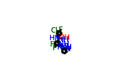 CN(C)[C@H]1CCCC[C@@H]1Nc1nc2c(F)c(F)cc(C(NO)Nc3ccc(F)c(Cl)c3)c2[nH]1